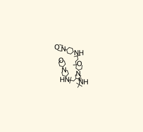 CC(C)(C)N[C@H]1CN(C2CCOC(C)(CCC(C)(C)N[C@H]3CC[C@H](N4CCOCC4)CC3)C2)CC1CC(C)(C)NC1CCN(C2CCOCC2)CC1